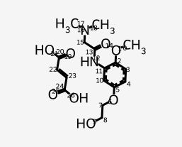 COc1ccc(OCCO)cc1NC(=O)CN(C)C.O=C(O)C=CC(=O)O